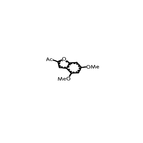 COc1cc(OC)c2cc(C(C)=O)oc2c1